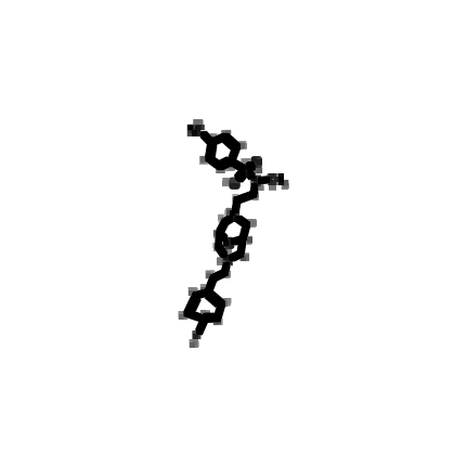 CN(CCN1CC2CN(CCc3ccc(F)cc3)CC(C1)O2)S(=O)(=O)c1ccc(C#N)cc1